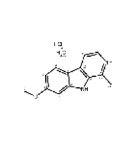 COc1ccc2c(c1)[nH]c1c(C)nccc12.Cl.O